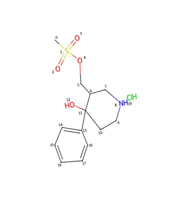 CS(=O)(=O)OCC1CNCCC1(O)c1ccccc1.Cl